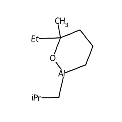 CCC1(C)CC[CH2][Al]([CH2]C(C)C)[O]1